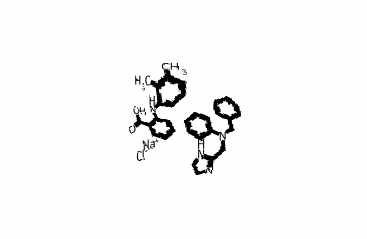 Cc1cccc(Nc2ccccc2C(=O)O)c1C.[Cl-].[Na+].c1ccc(CN(CC2=NCCN2)c2ccccc2)cc1